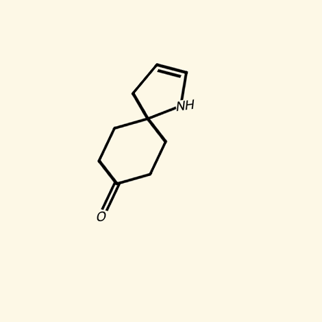 O=C1CCC2(CC=CN2)CC1